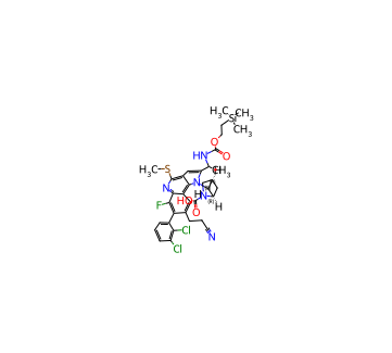 CSc1nc2c(F)c(-c3cccc(Cl)c3Cl)c(CCC#N)cc2c2c1cc(C(C)NC(=O)OCC[Si](C)(C)C)n2[C@H]1[C@@H]2C[C@H]1N(C(=O)O)C2